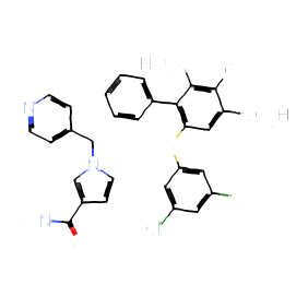 Cc1c(C(=O)O)cc(Sc2cc(Cl)cc(Cl)c2)c(-c2ccccc2)c1C(=O)O.NC(=O)c1ccn(Cc2ccncc2)c1